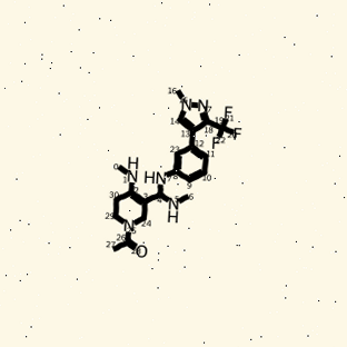 CNC1=C(C(NC)Nc2cccc(-c3cn(C)nc3C(F)(F)F)c2)CN(C(C)=O)CC1